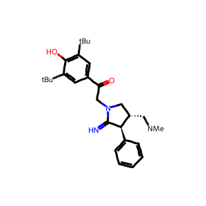 CNC[C@H]1CN(CC(=O)c2cc(C(C)(C)C)c(O)c(C(C)(C)C)c2)C(=N)[C@@H]1c1ccccc1